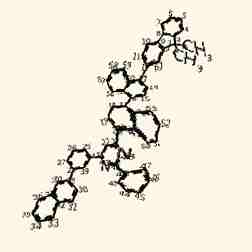 CC1(C)c2ccccc2-c2ccc(-c3ccc(-c4ccc(-c5cc(-c6cccc(-c7ccc8ccccc8c7)c6)nc(-c6ccccc6)n5)c5ccccc45)c4ccccc34)cc21